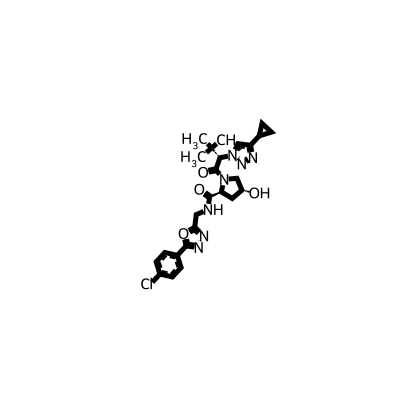 CC(C)(C)[C@@H](C(=O)N1C[C@H](O)C[C@H]1C(=O)NCc1nnc(-c2ccc(Cl)cc2)o1)n1cc(C2CC2)nn1